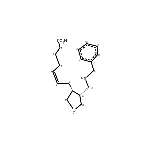 O=C(O)CCC/C=C\C[C@H]1COC[C@H]1CSCc1ccccc1